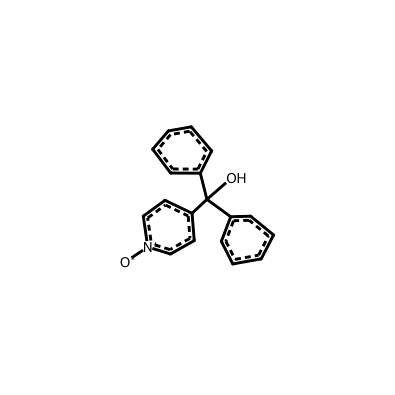 [O-][n+]1ccc(C(O)(c2ccccc2)c2ccccc2)cc1